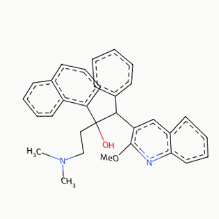 COc1nc2ccccc2cc1C(c1ccccc1)C(O)(CCN(C)C)c1cccc2ccccc12